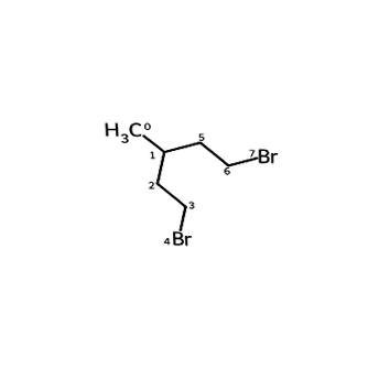 CC(CCBr)CCBr